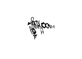 CC(C)(F)c1cc(-n2c3nc(Nc4ccc5c(c4)CNCC5)ncc3c(=O)n2C2CC2)no1